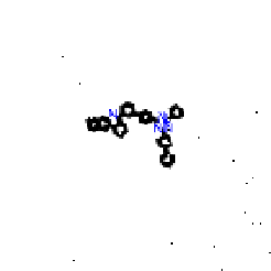 c1ccc(-c2ccc(-c3nc(-c4ccccc4)nc(-c4ccc(-c5cccc(-c6nc7cc8ccccc8cc7c7ccccc67)c5)cc4)n3)cc2)cc1